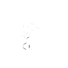 CC1CC(n2cc(-c3cccc(F)c3)nn2)C(O)C(CO)O1